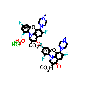 COc1c(N2CCN(C)CC2)c(F)cc2c(=O)c(C(=O)O)cn(-c3ccc(F)cc3F)c12.COc1c(N2CCN(C)CC2)c(F)cc2c(=O)c(C(=O)O)cn(-c3ccc(F)cc3F)c12.Cl.Cl.O